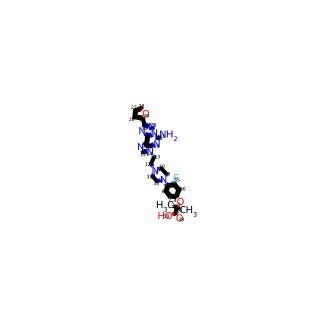 CC(C)(Oc1ccc(N2CCN(CCn3cnc4c3nc(N)n3nc(-c5ccco5)nc43)CC2)c(F)c1)C(=O)O